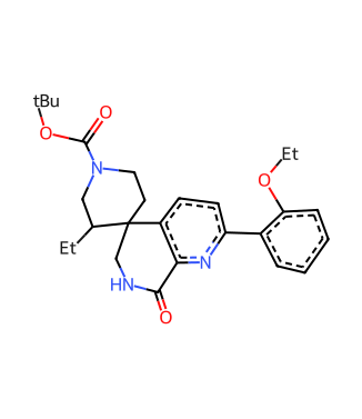 CCOc1ccccc1-c1ccc2c(n1)C(=O)NCC21CCN(C(=O)OC(C)(C)C)CC1CC